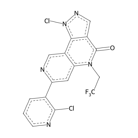 O=c1c2cnn(Cl)c2c2cnc(-c3cccnc3Cl)cc2n1CC(F)(F)F